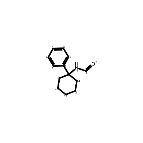 O=CNC1(c2ccccc2)CCCCC1